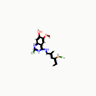 C/C=C(\C=C(/C)CNc1nc(Cl)nc2cc(O)c(OC)cc12)SF